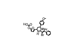 COc1ccc(C2CC(c3ccc(OC(=O)O)o3)NC3C(Br)=C(c4ccccc4)NN32)cc1